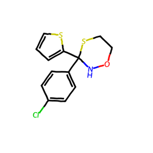 Clc1ccc(C2(c3cccs3)NOCCS2)cc1